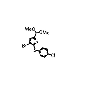 COC(OC)c1cc(Br)c(Sc2ccc(Cl)cc2)s1